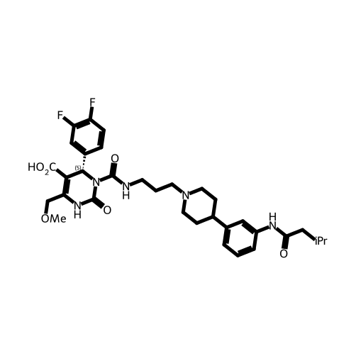 COCC1=C(C(=O)O)[C@H](c2ccc(F)c(F)c2)N(C(=O)NCCCN2CCC(c3cccc(NC(=O)CC(C)C)c3)CC2)C(=O)N1